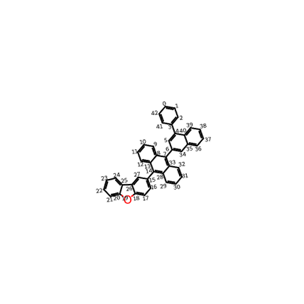 c1ccc(-c2cc(-c3c4ccccc4c(-c4ccc5oc6ccccc6c5c4)c4ccccc34)cc3ccccc23)cc1